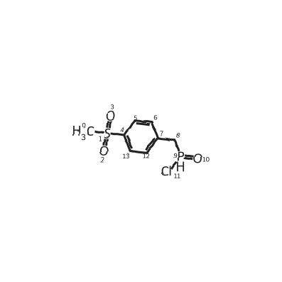 CS(=O)(=O)c1ccc(C[PH](=O)Cl)cc1